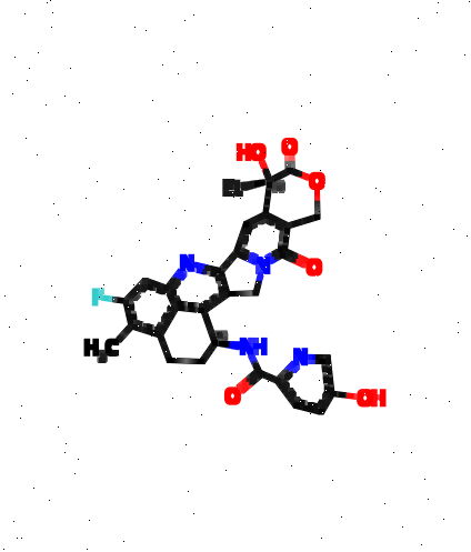 CC[C@@]1(O)C(=O)OCc2c1cc1n(c2=O)Cc2c-1nc1cc(F)c(C)c3c1c2[C@@H](NC(=O)c1ccc(O)cn1)CC3